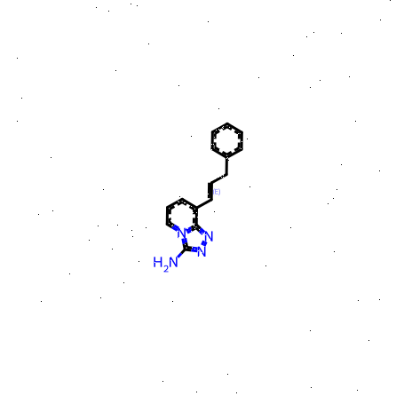 Nc1nnc2c(/C=C/Cc3ccccc3)cccn12